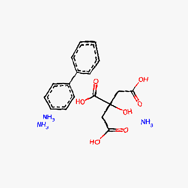 N.N.N.O=C(O)CC(O)(CC(=O)O)C(=O)O.c1ccc(-c2ccccc2)cc1